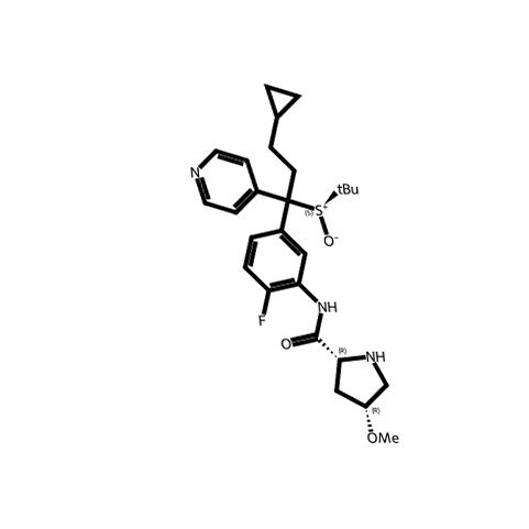 CO[C@H]1CN[C@@H](C(=O)Nc2cc(C(CCC3CC3)(c3ccncc3)[S@+]([O-])C(C)(C)C)ccc2F)C1